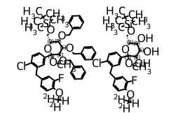 [2H]C([2H])([2H])Oc1ccc(Cc2cc([C@]3(OC)O[C@H](CO[Si](C)(C)C(C)(C)C)[C@@H](O)[C@H](O)[C@H]3O)ccc2Cl)cc1F.[2H]C([2H])([2H])Oc1ccc(Cc2cc([C@]3(OC)O[C@H](CO[Si](C)(C)C(C)(C)C)[C@@H](OCc4ccccc4)[C@H](OCc4ccccc4)[C@H]3OCc3ccccc3)ccc2Cl)cc1F